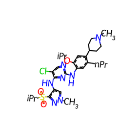 CCCc1cc(Nc2ncc(Cl)c(Nc3cn(C)nc3S(=O)(=O)C(C)C)n2)c(OC(C)C)cc1C1CCN(C)CC1